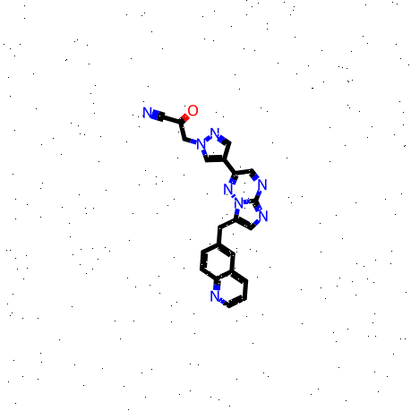 N#CC(=O)Cn1cc(-c2cnc3ncc(Cc4ccc5ncccc5c4)n3n2)cn1